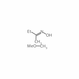 CCC(C)=NO.COC